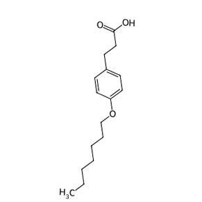 CCCCCCCOc1ccc(CCC(=O)O)cc1